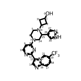 OC1CC(N2CCN(c3ccnc(-c4cnc5ccc(C(F)(F)F)cn45)n3)CC2c2cn[nH]c2)C1